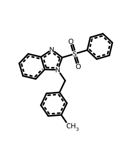 Cc1cccc(Cn2c(S(=O)(=O)c3ccccc3)nc3ccccc32)c1